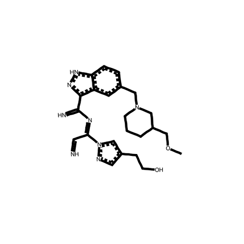 COCC1CCCN(Cc2ccc3[nH]nc(C(=N)/N=C(\C=N)n4cc(CCO)cn4)c3c2)C1